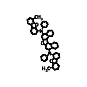 Cc1cccc2c1oc1c(N(c3ccccc3)c3cc4oc5cc(N(c6ccccc6)c6cccc7c6oc6c(C)cccc67)c6ccccc6c5c4c4ccccc34)cccc12